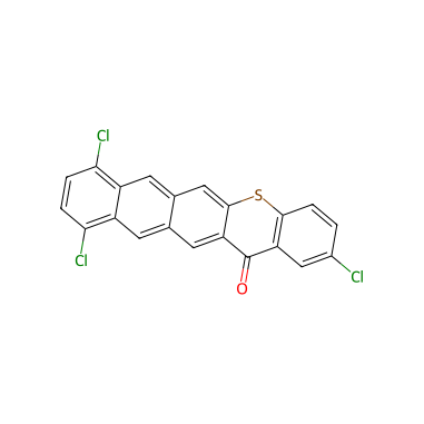 O=c1c2cc(Cl)ccc2sc2cc3cc4c(Cl)ccc(Cl)c4cc3cc12